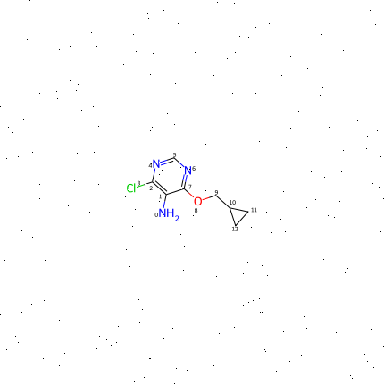 Nc1c(Cl)ncnc1OCC1CC1